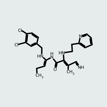 CC/C=C(\NCc1ccc(Cl)c(Cl)c1)NC(=O)/C(NCCc1ccccn1)=C(\C)C=N